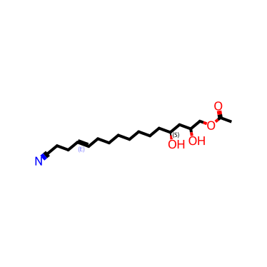 CC(=O)OCC(O)C[C@@H](O)CCCCCCC/C=C/CCC#N